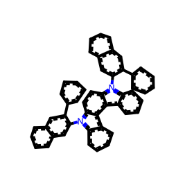 c1ccc(-c2cc3ccccc3cc2-n2c3ccccc3c3c4c5ccccc5n(-c5cc6ccccc6cc5-c5ccccc5)c4ccc32)cc1